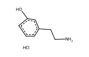 Cl.NCCc1cccc(O)c1